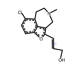 CN1CCc2c(Cl)ccc3oc(/C=C/CO)c(c23)C1